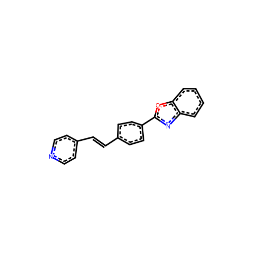 C(=Cc1ccc(-c2nc3ccccc3o2)cc1)c1ccncc1